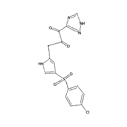 O=C(Cc1cc(S(=O)(=O)c2ccc(Cl)cc2)c[nH]1)C(=O)c1nc[nH]n1